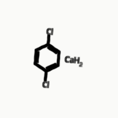 Clc1ccc(Cl)cc1.[CaH2]